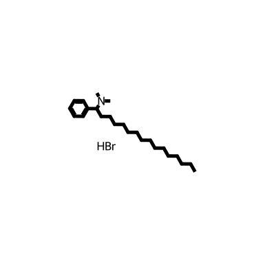 Br.CCCCCCCCCCCCCCCC(c1ccccc1)N(C)C